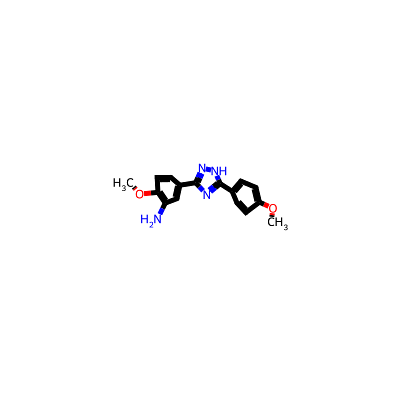 COc1ccc(-c2nc(-c3ccc(OC)c(N)c3)n[nH]2)cc1